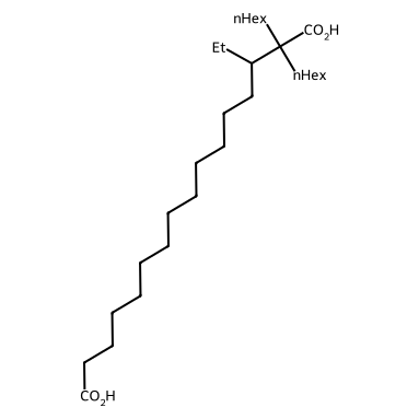 CCCCCCC(CCCCCC)(C(=O)O)C(CC)CCCCCCCCCCCCC(=O)O